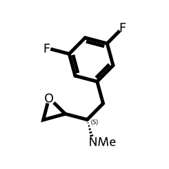 CN[C@@H](Cc1cc(F)cc(F)c1)C1CO1